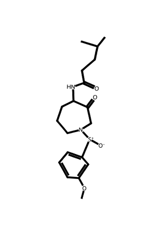 COc1cccc([S+]([O-])N2CCCC(NC(=O)CCC(C)C)C(=O)C2)c1